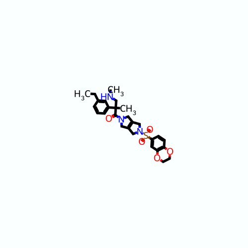 CCc1cccc(C(C)(CNC)C(=O)N2CC3=C(C2)CN(S(=O)(=O)c2ccc4c(c2)OCCO4)C3)c1